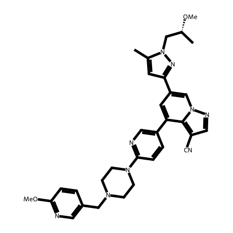 COc1ccc(CN2CCN(c3ccc(-c4cc(-c5cc(C)n(C[C@@H](C)OC)n5)cn5ncc(C#N)c45)cn3)CC2)cn1